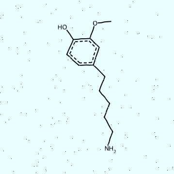 COc1cc(CCCCCN)ccc1O